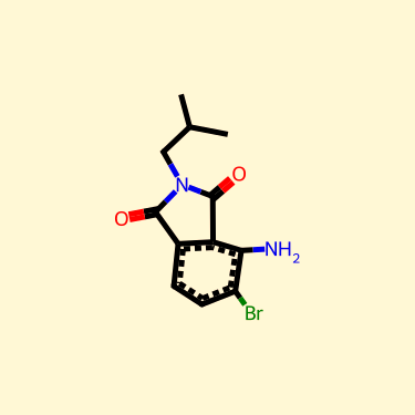 CC(C)CN1C(=O)c2ccc(Br)c(N)c2C1=O